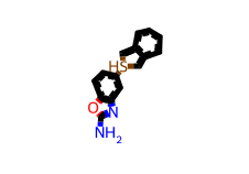 Nc1nc2cc([SH]3C=c4ccccc4=C3)ccc2o1